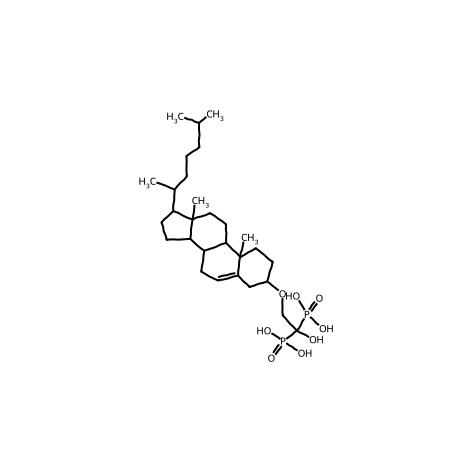 CC(C)CCCC(C)C1CCC2C3CC=C4CC(OCC(O)(P(=O)(O)O)P(=O)(O)O)CCC4(C)C3CCC12C